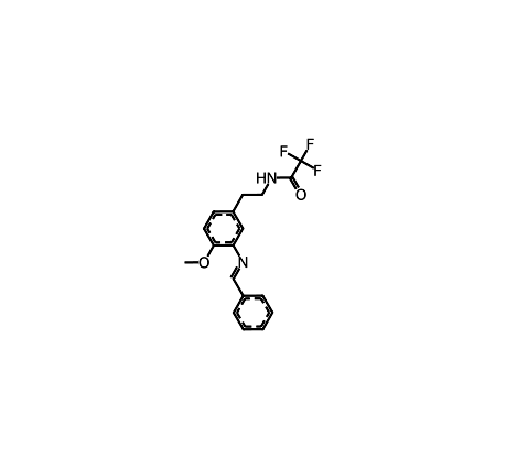 COc1ccc(CCNC(=O)C(F)(F)F)cc1N=Cc1ccccc1